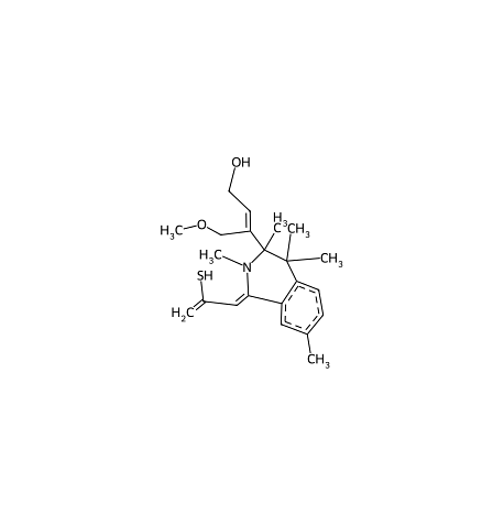 C=C(S)/C=C1/c2cc(C)ccc2C(C)(C)C(C)(/C(=C/CO)COC)N1C